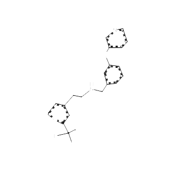 FC(F)(F)c1cccc(CCNCc2cccc(Oc3cccnc3)c2)c1